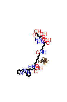 O=C(O)CCC(NC(=O)NC(CCCCNC(=O)CCCCCCC(=O)NC(CCCCN(Cc1ccccn1)Cc1ccccn1)C(=O)O)C(=O)O)C(=O)O.[Br][Re]([Br])([Br])[Br]